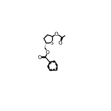 CC(=O)OC1CC[C@@H](COC(=O)c2ccccc2)S1